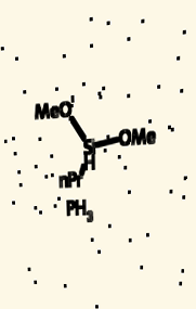 CCC[SiH](OC)OC.P